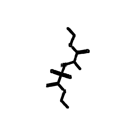 CCOC(=O)C(C)NS(=O)(=O)C(=S)SCC